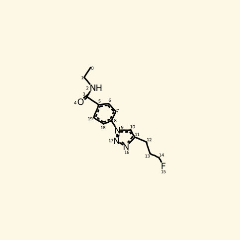 CCNC(=O)c1ccc(-n2cc(CCCF)nn2)cc1